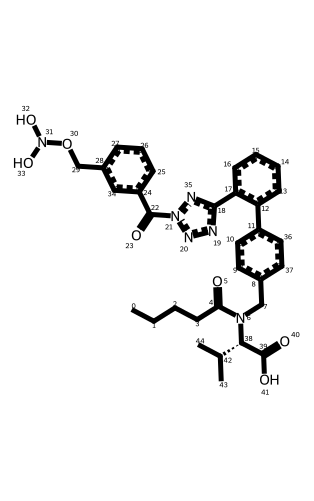 CCCCC(=O)N(Cc1ccc(-c2ccccc2-c2nnn(C(=O)c3cccc(CON(O)O)c3)n2)cc1)[C@H](C(=O)O)C(C)C